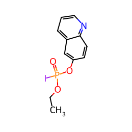 CCOP(=O)(I)Oc1ccc2ncccc2c1